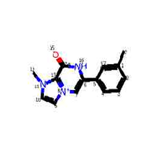 Cc1cccc(-c2c[n+]3ccn(C)c3c(=O)[nH]2)c1